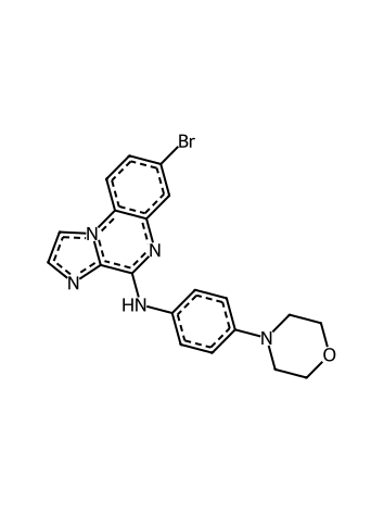 Brc1ccc2c(c1)nc(Nc1ccc(N3CCOCC3)cc1)c1nccn12